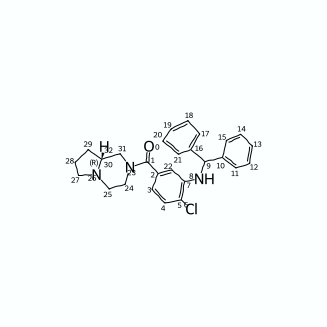 O=C(c1ccc(Cl)c(NC(c2ccccc2)c2ccccc2)c1)N1CCN2CCC[C@@H]2C1